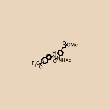 COC(=O)CC[C@H]1CC[C@H](N(NC(C)=O)C(=O)Nc2ccc3c(c2)CCN(C(=O)C(F)(F)F)CC3)CC1